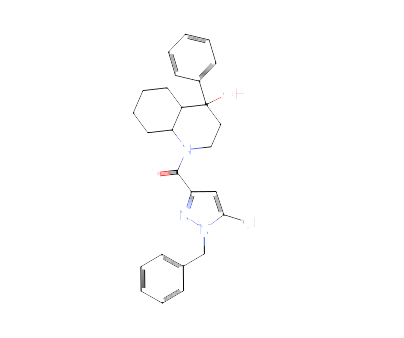 Cc1cc(C(=O)N2CCC(O)(c3ccccc3)C3CCCCC32)nn1Cc1ccccc1